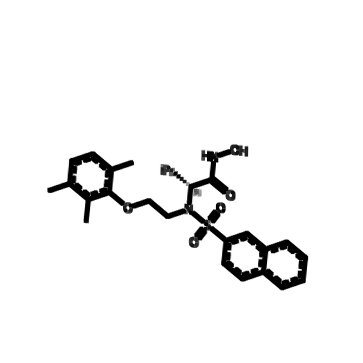 Cc1ccc(C)c(OCCN([C@@H](C(=O)NO)C(C)C)S(=O)(=O)c2ccc3ccccc3c2)c1C